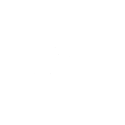 CCN(c1coc(-c2ccc(C(C)(C)C)cc2)n1)S(=O)(=O)c1ccc(C)c(C(=O)O)c1